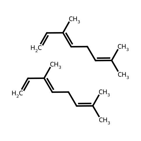 C=CC(C)=CCC=C(C)C.C=CC(C)=CCC=C(C)C